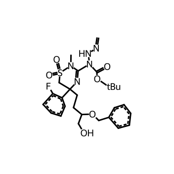 C=NNN(C(=O)OC(C)(C)C)C1=NC(CCC(CO)OCc2ccccc2)(c2ccccc2F)CS(=O)(=O)N1C